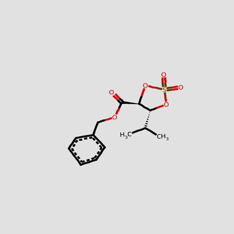 CC(C)[C@H]1OS(=O)(=O)O[C@@H]1C(=O)OCc1ccccc1